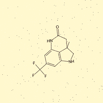 CC12CNc3cc(C(F)(F)F)cc(c31)NC(=O)C2